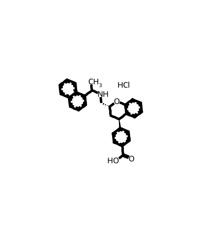 CC(NC[C@H]1C[C@H](c2ccc(C(=O)O)cc2)c2ccccc2O1)c1cccc2ccccc12.Cl